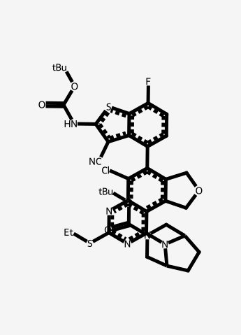 CCSc1nc(N2C3CCC2CN(C(=O)OC(C)(C)C)C3)c2c3c(c(-c4ccc(F)c5sc(NC(=O)OC(C)(C)C)c(C#N)c45)c(Cl)c2n1)COC3